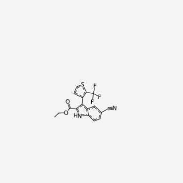 CCOC(=O)c1[nH]c2ccc(C#N)cc2c1-c1ccsc1C(F)(F)F